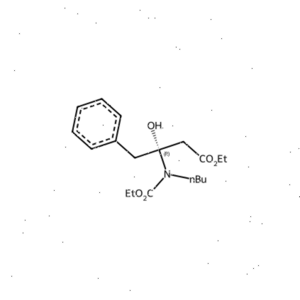 CCCCN(C(=O)OCC)[C@](O)(CC(=O)OCC)Cc1ccccc1